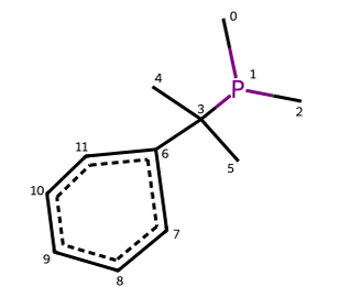 CP(C)C(C)(C)c1ccccc1